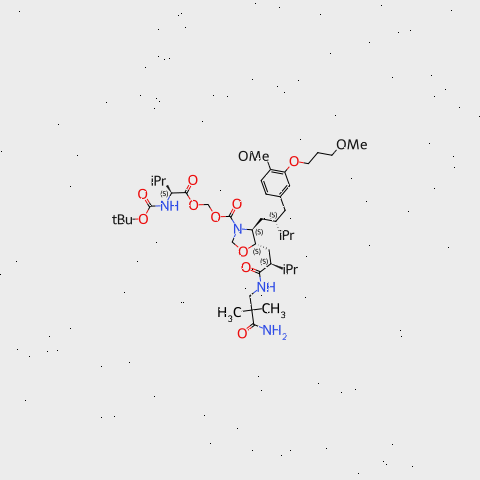 COCCCOc1cc(C[C@@H](C[C@H]2[C@H](C[C@H](C(=O)NCC(C)(C)C(N)=O)C(C)C)OCN2C(=O)OCOC(=O)[C@@H](NC(=O)OC(C)(C)C)C(C)C)C(C)C)ccc1OC